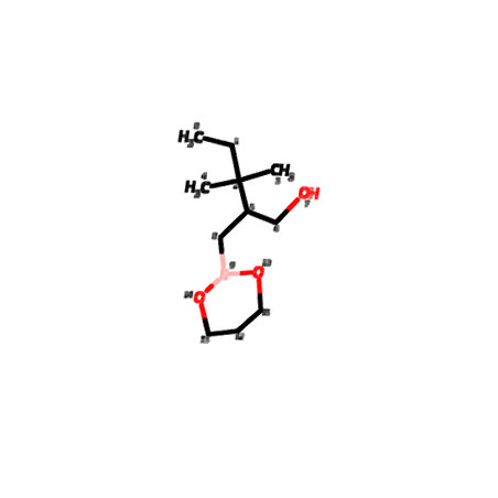 CCC(C)(C)C(CO)CB1OCCCO1